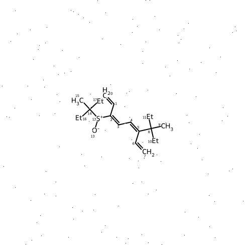 C=C/C(=C\C=C(/C=C)C(C)(CC)CC)[S+]([O-])C(C)(CC)CC